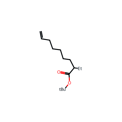 C=CCCCCCC(CC)C(=O)OC(C)(C)C